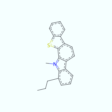 CCCc1cccc2c3ccc4c5ccccc5sc4c3n(C)c12